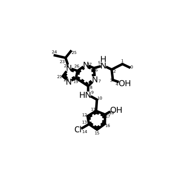 CCC(CO)Nc1nc(NCc2cc(Cl)ccc2O)c2ncn(C(C)C)c2n1